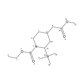 CCOC(=O)N1CCC(CC(=O)OC)CC1[Si](C)(C)C